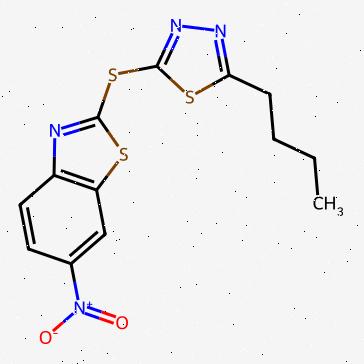 CCCCc1nnc(Sc2nc3ccc([N+](=O)[O-])cc3s2)s1